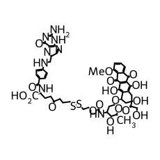 COc1cccc2c1C(=O)c1c(O)c3c(c(O)c1C2=O)CC(O)(C(=O)CO)C[C@H]3OC1CC(NC(=O)OCCSSCCCC(=O)CC[C@@H](NC(=O)c2ccc(NCc3cnc4[nH]c(N)nc(=O)c4n3)cc2)C(=O)O)C(O)C(C)O1